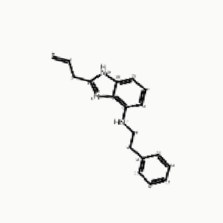 C=CCc1nc2c(NCCc3ccccc3)cccc2[nH]1